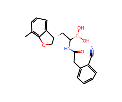 Cc1cccc2c1OC[C@H]2CC(NC(=O)Cc1ccccc1C#N)B(O)O